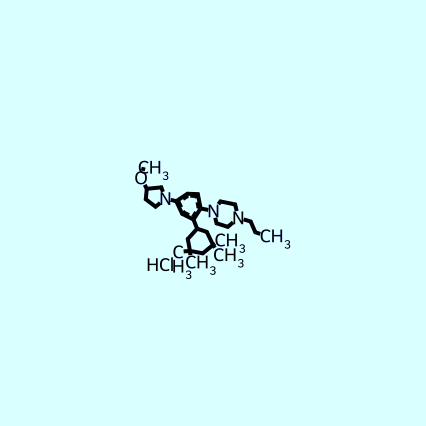 CCCN1CCN(c2ccc(N3CCC(OC)C3)cc2C2CC(C)(C)CC(C)(C)C2)CC1.Cl